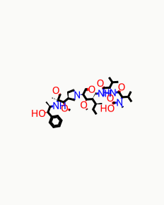 CC[C@H](C)[C@@H](CNC(=O)[C@@H](NC(=O)C(C(C)C)N(C)C(=O)O)C(C)C)[C@@H](OC)[C@@H](C=O)N1CC[C@H]([C@@H](OC)[C@](C)(C=O)N[C@H](C)[C@@H](O)c2ccccc2)C1